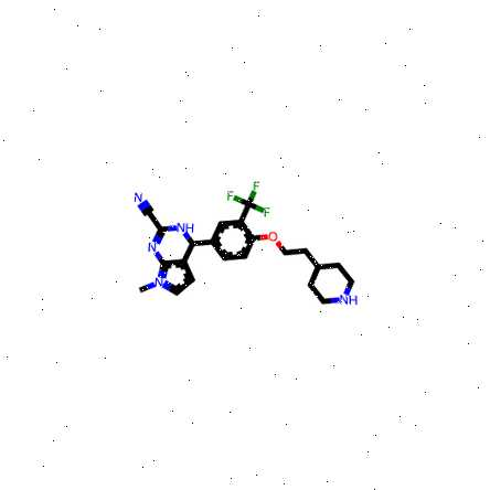 Cn1ccc2c1N=C(C#N)NC2c1ccc(OCCC2CCNCC2)c(C(F)(F)F)c1